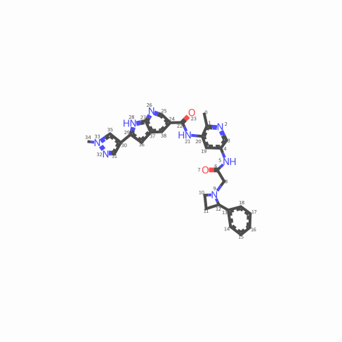 Cc1ncc(NC(=O)CN2CCC2c2ccccc2)cc1NC(=O)c1cnc2[nH]c(-c3cnn(C)c3)cc2c1